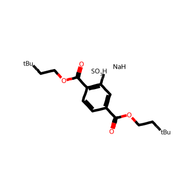 CC(C)(C)CCOC(=O)c1ccc(C(=O)OCCC(C)(C)C)c(S(=O)(=O)O)c1.[NaH]